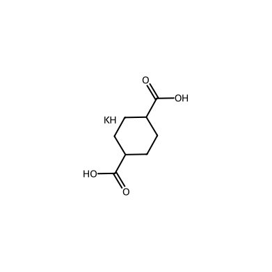 O=C(O)C1CCC(C(=O)O)CC1.[KH]